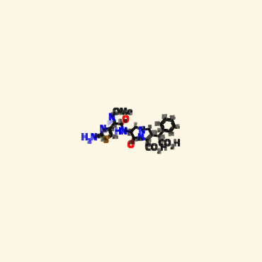 CO/N=C(\C(=O)N[C@H]1CN2CC(C(C(=O)O)c3ccccc3)=C(C(=O)O)N2C1=O)c1csc(N)n1